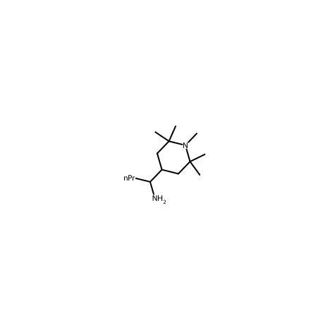 CCCC(N)C1CC(C)(C)N(C)C(C)(C)C1